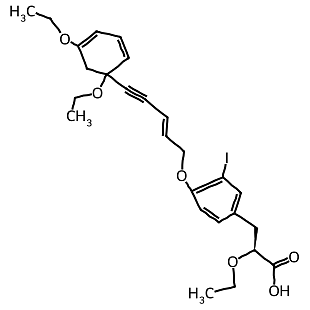 CCOC1=CC=CC(C#C/C=C/COc2ccc(C[C@H](OCC)C(=O)O)cc2I)(OCC)C1